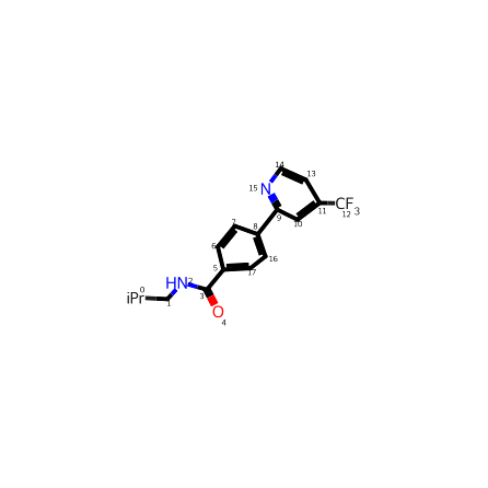 CC(C)CNC(=O)c1ccc(-c2cc(C(F)(F)F)ccn2)cc1